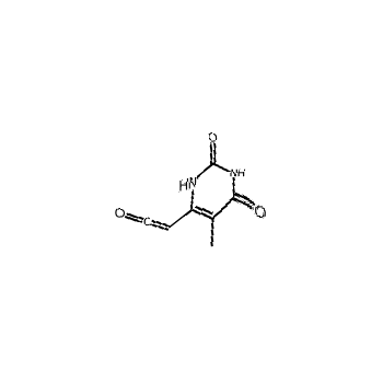 Cc1c(C=C=O)[nH]c(=O)[nH]c1=O